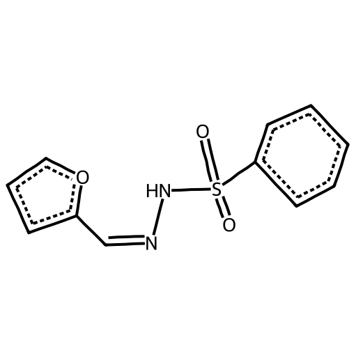 O=S(=O)(N/N=C\c1ccco1)c1ccccc1